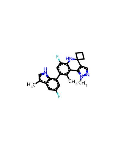 Cc1c(-c2cc(F)cc3c(C)c[nH]c23)cc(F)c2c1-c1c(cnn1C)C1(CCC1)N2